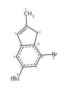 CC1=Cc2cc(C(C)(C)C)cc(Br)c2C1